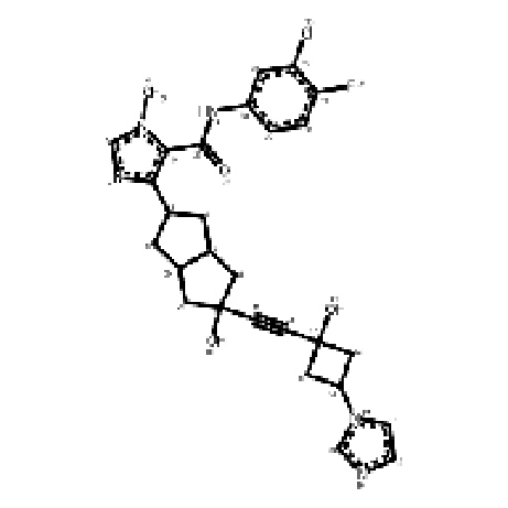 Cn1cnc(C2CC3CC(O)(C#CC4(O)CC(n5ccnc5)C4)CC3C2)c1C(=O)Nc1ccc(F)c(Cl)c1